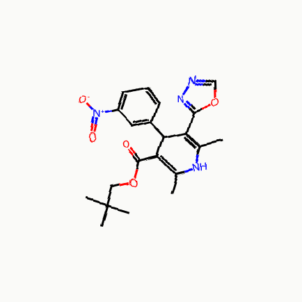 CC1=C(C(=O)OCC(C)(C)C)C(c2cccc([N+](=O)[O-])c2)C(c2nnco2)=C(C)N1